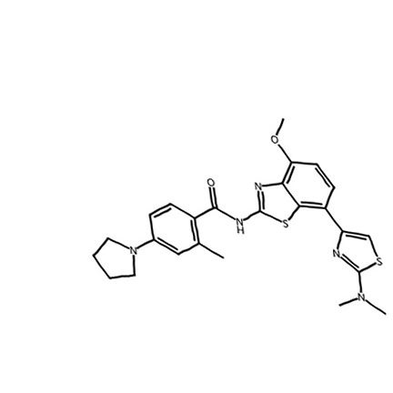 COc1ccc(-c2csc(N(C)C)n2)c2sc(NC(=O)c3ccc(N4CCCC4)cc3C)nc12